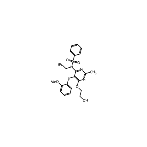 COc1ccccc1Sc1c(OCCO)nc(C)nc1N(CC(C)C)S(=O)(=O)c1ccccc1